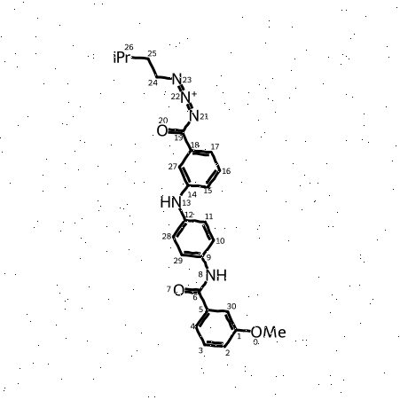 COc1cccc(C(=O)Nc2ccc(Nc3cccc(C(=O)N=[N+]=NCCC(C)C)c3)cc2)c1